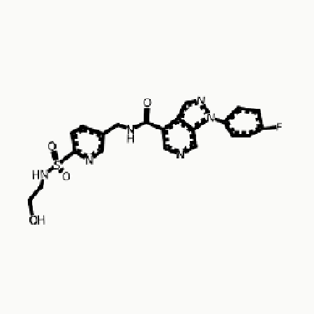 O=C(NCc1ccc(S(=O)(=O)NCCO)nc1)c1cncc2c1cnn2-c1ccc(F)cc1